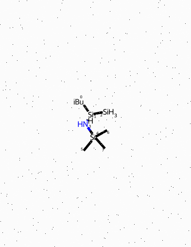 CCC(C)[SiH]([SiH3])N[Si](C)(C)C